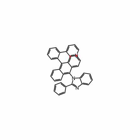 c1ccc(-c2nc3ccccc3n2-c2c3ccccc3c(-c3ccccc3-c3cccnc3)c3ccccc23)cc1